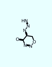 N=N/N=C1\CON=NC1=O